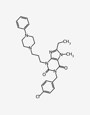 CCc1nc2c(c(=O)n(Cc3ccc(Cl)cc3)c(=O)n2CCCN2CCN(c3ccccc3)CC2)n1C